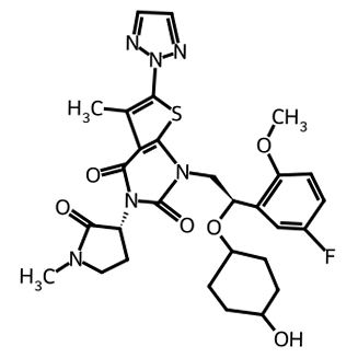 COc1ccc(F)cc1[C@H](Cn1c(=O)n([C@@H]2CCN(C)C2=O)c(=O)c2c(C)c(-n3nccn3)sc21)OC1CCC(O)CC1